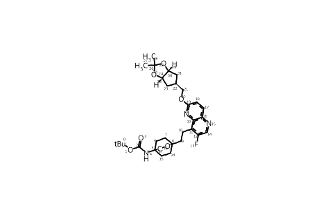 CC(C)(C)OC(=O)NC12CCC(CCc3c(F)cnc4ccc(OC[C@H]5C[C@@H]6OC(C)(C)O[C@@H]6C5)nc34)(CC1)OC2